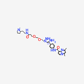 Cc1cc(C)n2ccc(C(=O)Nc3ccc(/C(N)=C/N(N)CCOCCOCCC(=O)NCCC4CCCN4C)cc3)c2n1